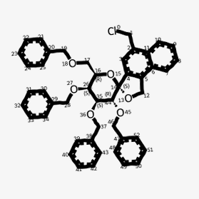 ClCc1cc2c(c3ccccc13)CO[C@]21O[C@H](COCc2ccccc2)[C@H](OCc2ccccc2)[C@H](OCc2ccccc2)[C@H]1OCc1ccccc1